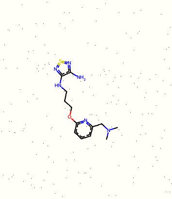 CN(C)Cc1cccc(OCCCNc2nsnc2N)n1